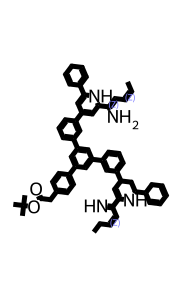 C/C=C\C=C(/N)C1C=C(c2cccc(-c3cc(-c4ccc(CC(=O)OC(C)(C)C)cc4)cc(-c4cccc(C5C=C(C(=N)/C=C\CC)NC(C6C=CC=CC6)C5)c4)c3)c2)C=C(C2=C=CCC=C2)N1